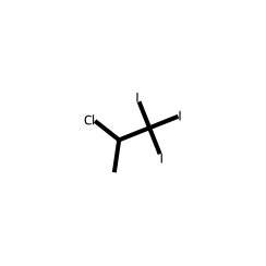 CC(Cl)C(I)(I)I